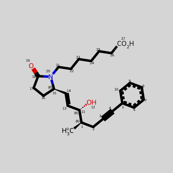 C[C@H](CC#Cc1ccccc1)[C@@H](O)C=C[C@H]1CCC(=O)N1CCCCCCC(=O)O